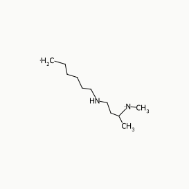 [CH2]CCCCCNCCC(C)[N]C